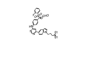 CCN(CC)CCCn1ccc2cc(-c3cc(Nc4ccc(N(OC=O)S(=O)(=O)c5ccccc5F)cc4)ncn3)ccc21